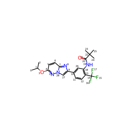 CC(C)Oc1ccc2nc(-c3ccc(C(F)(F)F)c(NC(=O)C(C)(C)C)c3)cn2n1